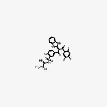 C[C@@H](O)C(=N)NS(=O)(=O)c1cc(C(=O)C(C(=O)c2cc(F)c(F)cc2F)=C2Nc3ccccc3N2)ccc1F